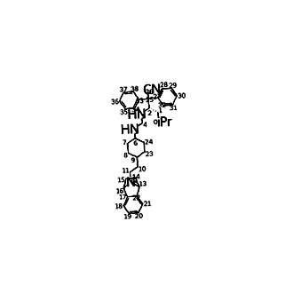 CC(C)C[C@H](NCNC1CCC(CCN2C3CCC2c2ccccc23)CC1)C(C#N)(c1ccccc1)c1ccccc1